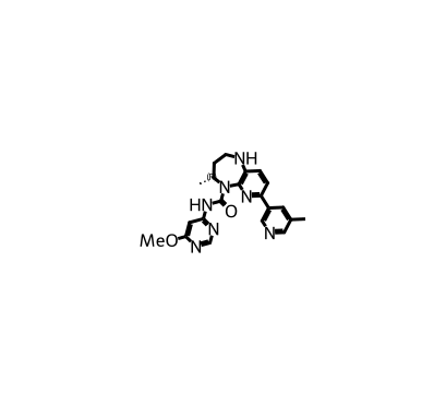 COc1cc(NC(=O)N2c3nc(-c4cncc(C)c4)ccc3NCC[C@H]2C)ncn1